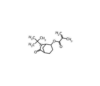 C=C(C)C(=O)OC1CCC2CC1N(C(C)(C)C)C2=O